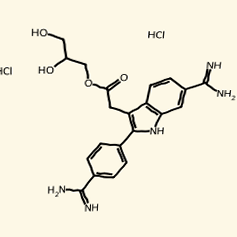 Cl.Cl.N=C(N)c1ccc(-c2[nH]c3cc(C(=N)N)ccc3c2CC(=O)OCC(O)CO)cc1